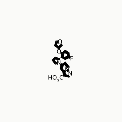 O=C(O)c1cnn2ccc(N3CCC[C@@H]3c3cc(F)ccc3OC3CCOC3)cc12